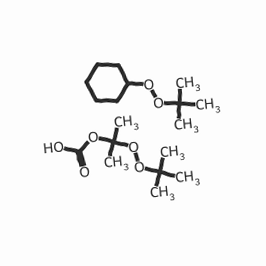 CC(C)(C)OOC(C)(C)OC(=O)O.CC(C)(C)OOC1CCCCC1